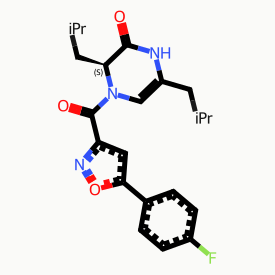 CC(C)CC1=CN(C(=O)c2cc(-c3ccc(F)cc3)on2)[C@@H](CC(C)C)C(=O)N1